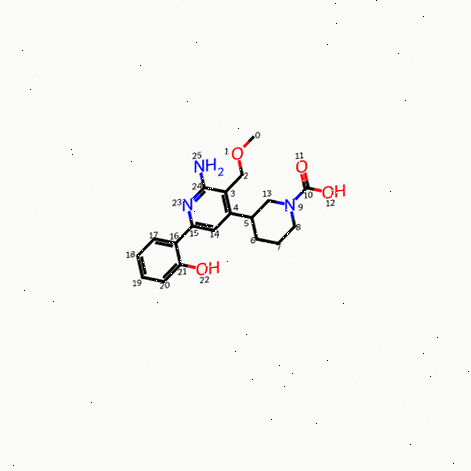 COCc1c(C2CCCN(C(=O)O)C2)cc(-c2ccccc2O)nc1N